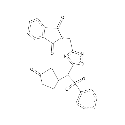 O=C1CCC(C(c2nc(CN3C(=O)c4ccccc4C3=O)no2)S(=O)(=O)c2ccccc2)C1